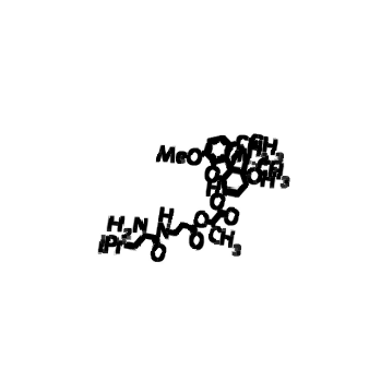 COc1ccc(C)c2c1O[C@H]1C(OC(=O)[C@H](C)OC(=O)CCNC(=O)[C@@H](N)CC(C)C)=CC[C@@]3(O)[C@@H](C)N(C)CC[C@]213